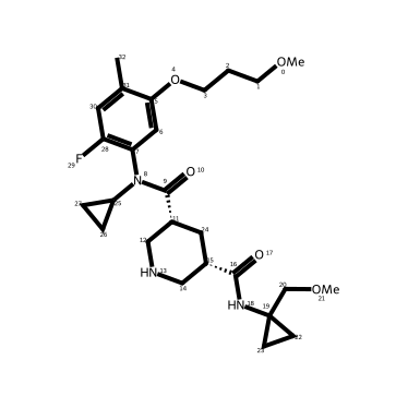 COCCCOc1cc(N(C(=O)[C@H]2CNC[C@@H](C(=O)NC3(COC)CC3)C2)C2CC2)c(F)cc1C